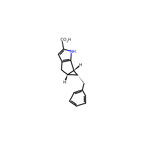 O=C(O)c1cc2c([nH]1)[C@@H]1[C@H](Cc3ccccc3)[C@@H]1C2